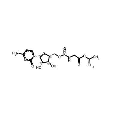 CC(C)OC(=O)CN[PH](=O)OC[C@H]1S[C@@H](n2ccc(N)nc2=O)[C@@H](O)[C@@H]1O